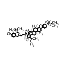 CC(C)C1=C2C3CCC4[C@@]5(C)CC=C(C6=CC[C@@H](C(=O)OC(C)(C)C)CC6)C(C)(C)C5CC[C@@]4(C)[C@]3(C)CC[C@@]2(C(=O)NCCN(CCN(C)C)Cc2ccc(Cl)cc2)CC1=O